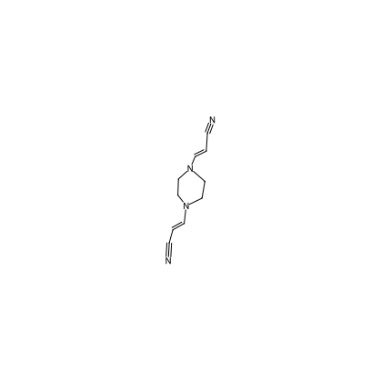 N#CC=CN1CCN(C=CC#N)CC1